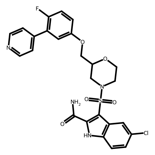 NC(=O)c1[nH]c2ccc(Cl)cc2c1S(=O)(=O)N1CCOC(COc2ccc(F)c(-c3ccncc3)c2)C1